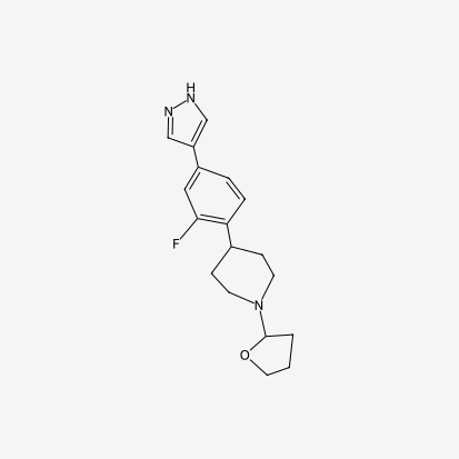 Fc1cc(-c2cn[nH]c2)ccc1C1CCN(C2CCCO2)CC1